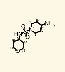 NC1CCN(S(=O)(=O)NC2CCOCC2)CC1